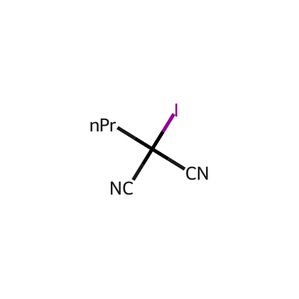 CCCC(I)(C#N)C#N